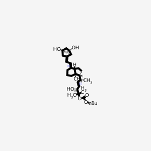 CCCCOC(=O)OC(C)(C)[C@H](O)/C=C/[C@@H](C)[C@H]1CC[C@H]2/C(=C/C=C3C[C@@H](O)C[C@H](O)C3)CCC[C@]12C